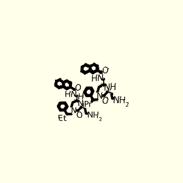 CC(C)C(CN1CC[C@@H](CNC(=O)c2ccc3ccccc3c2)N[C@@H](CCN)C1=O)c1ccccc1.CCC(CN1CC[C@@H](CNC(=O)c2ccc3ccccc3c2)N[C@@H](CCN)C1=O)c1ccccc1